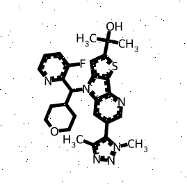 Cc1nnn(C)c1-c1cnc2c3sc(C(C)(C)O)cc3n(C(c3ncccc3F)C3CCOCC3)c2c1